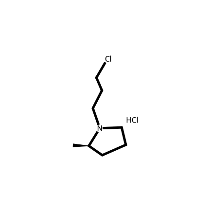 C[C@@H]1CCCN1CCCCl.Cl